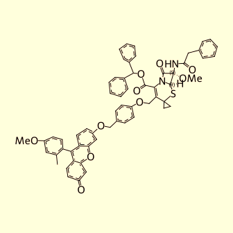 COc1ccc(-c2c3ccc(=O)cc-3oc3cc(OCc4ccc(OCC5=C(C(=O)OC(c6ccccc6)c6ccccc6)N6C(=O)[C@](NC(=O)Cc7ccccc7)(OC)[C@H]6SC56CC6)cc4)ccc23)c(C)c1